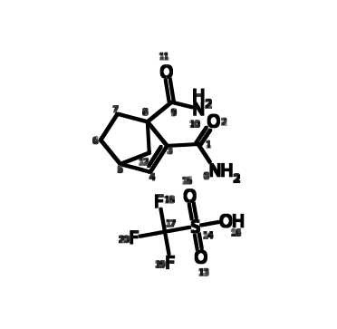 NC(=O)C1=CC2CCC1(C(N)=O)C2.O=S(=O)(O)C(F)(F)F